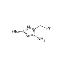 CC(C)Cc1nn(C(C)(C)C)cc1N